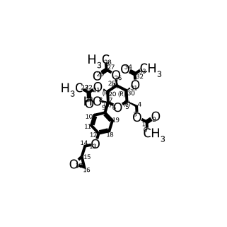 CC(=O)OC[C@H]1O[C@](O)(c2ccc(OCC3CO3)cc2)[C@H](OC(C)=O)[C@@H](OC(C)=O)[C@@H]1OC(C)=O